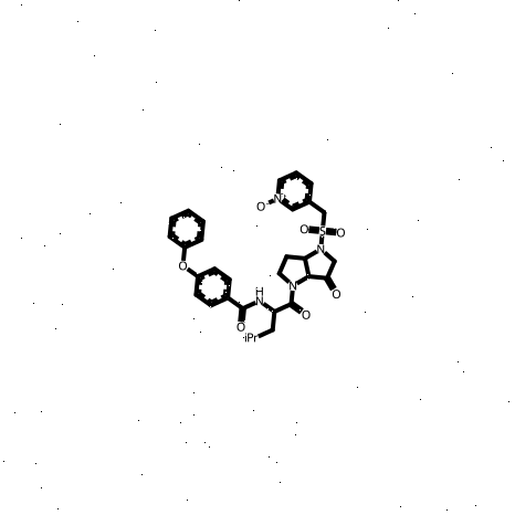 CC(C)CC(NC(=O)c1ccc(Oc2ccccc2)cc1)C(=O)N1CCC2C1C(=O)CN2S(=O)(=O)Cc1ccc[n+]([O-])c1